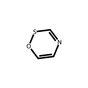 C1=COSC=N1